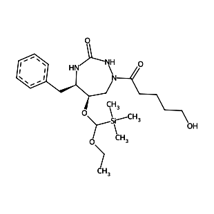 CCOC(O[C@@H]1CN(C(=O)CCCCO)NC(=O)N[C@@H]1Cc1ccccc1)[Si](C)(C)C